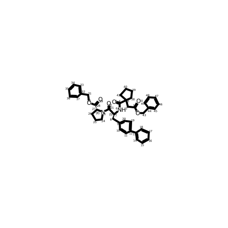 O=C(CC1(C(=O)N[C@@H](Cc2ccc(-c3ccccc3)cc2)C(=O)N2CCC[C@@H]2C(=O)OCc2ccccc2)CCCC1)OCc1ccccc1